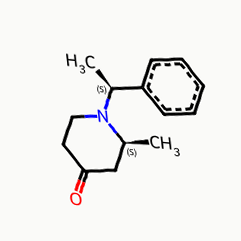 C[C@H]1CC(=O)CCN1[C@@H](C)c1ccccc1